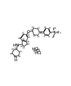 Cl.Cl.Cl.FC(F)(F)c1ccc(N2CCC(Oc3ccc4c(c3)CCC4NC3CCNCC3)CC2)cc1